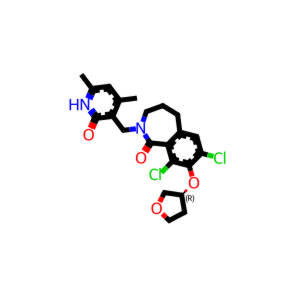 Cc1cc(C)c(CN2CCCc3cc(Cl)c(O[C@@H]4CCOC4)c(Cl)c3C2=O)c(=O)[nH]1